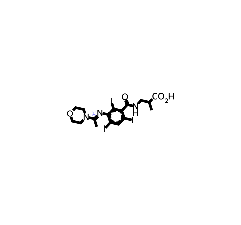 C/C(=N\c1c(I)cc(I)c(C(=O)NCC(C)C(=O)O)c1I)N1CCOCC1